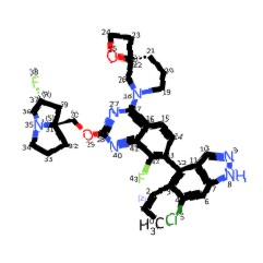 C/C=C\c1c(Cl)cc2[nH]ncc2c1-c1ccc2c(N3CCC[C@]4(CCO4)C3)nc(OC[C@@]34CCCN3C[C@H](F)C4)nc2c1F